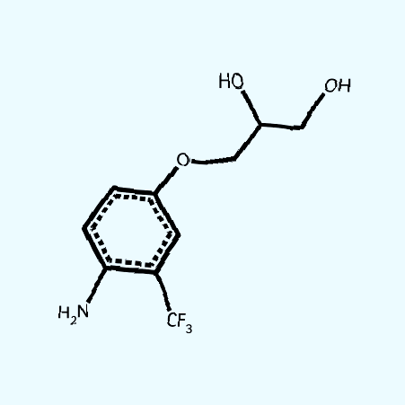 Nc1ccc(OCC(O)CO)cc1C(F)(F)F